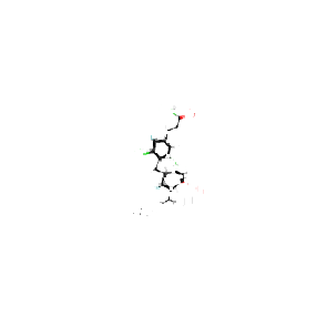 CC(C)c1c(O)ccc(Cc2c(Cl)cc(CCC(=O)Cl)c(F)c2Cl)c1F